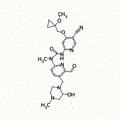 COC1(COc2cc(NC(=O)N(C)c3ccc(CN4CCN(C)CC4O)c(C=O)n3)ncc2C#N)CC1